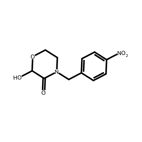 O=C1C(O)OCCN1Cc1ccc([N+](=O)[O-])cc1